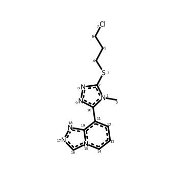 Cn1c(SCCCCl)nnc1-c1cccn2cnnc12